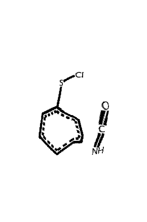 ClSc1ccccc1.N=C=O